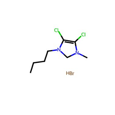 Br.CCCCN1CN(C)C(Cl)=C1Cl